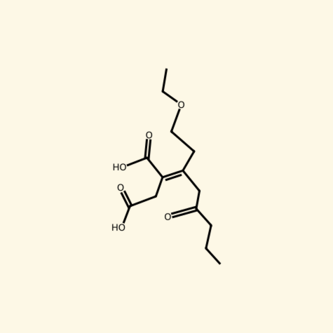 CCCC(=O)CC(CCOCC)=C(CC(=O)O)C(=O)O